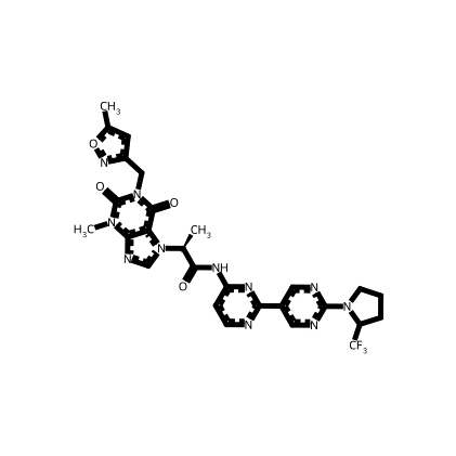 Cc1cc(Cn2c(=O)c3c(ncn3[C@@H](C)C(=O)Nc3ccnc(-c4cnc(N5CCCC5C(F)(F)F)nc4)n3)n(C)c2=O)no1